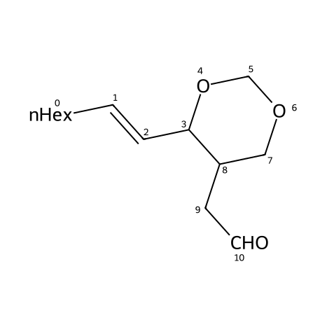 CCCCCCC=CC1OCOCC1CC=O